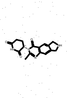 Cc1nc2cc3c(cc2c(=O)n1[C@H]1CCC(=O)NC1=O)CNC3